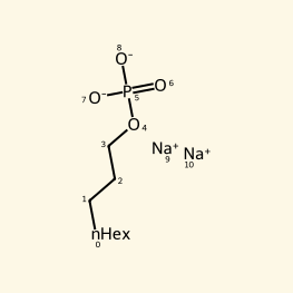 CCCCCCCCCOP(=O)([O-])[O-].[Na+].[Na+]